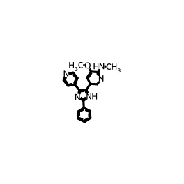 CNC1=NCC(c2[nH]c(-c3ccccc3)nc2-c2ccncc2)C=C1OC